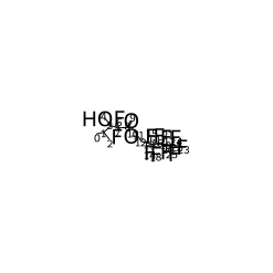 CC(C)C(O)C(F)(F)C(=O)OCCC(F)(F)C(F)(F)C(F)(F)C(F)(F)F